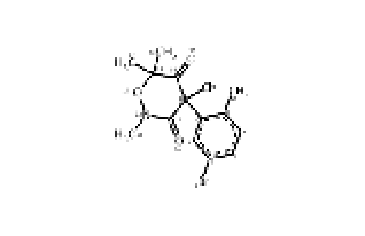 Cc1ccc(Br)cc1C1(Cl)C(=O)N(C)OC(C)(C)C1=O